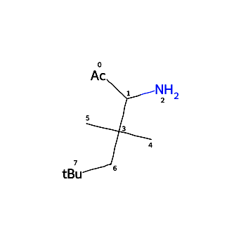 CC(=O)C(N)C(C)(C)CC(C)(C)C